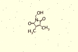 CC1=C(C)C(=O)N(CO)C1=O